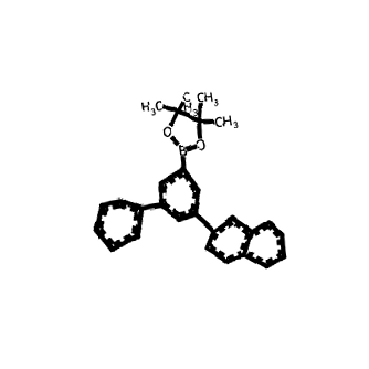 CC1(C)OB(c2cc(-c3ccccc3)cc(-c3ccc4ccccc4c3)c2)OC1(C)C